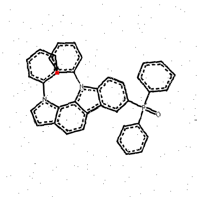 O=P(c1ccccc1)(c1ccccc1)c1ccc2c(c1)c1ccc3ccn(-c4ccccc4)c3c1n2-c1ccccc1